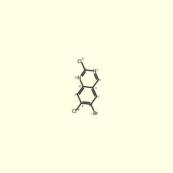 Clc1ncc2cc(Br)c(Cl)cc2n1